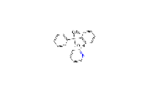 CC(=O)OC(C(=O)O)(c1ccccc1)c1ccccc1.c1ccncc1